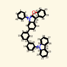 c1ccc(-n2c3cc(-c4cccc(-c5cccc(-n6c7ccccc7c7ccccc76)c5)c4)ccc3c3c4ccccc4oc32)cc1